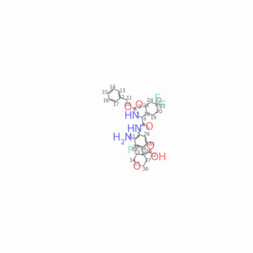 Nc1c(NC(=O)[C@@H](NC(=O)OCc2ccccc2)C2CCC(F)(F)CC2)ccc(C2(C(=O)O)CCOCC2)c1F